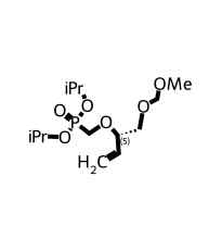 C=C[C@@H](COCOC)OCP(=O)(OC(C)C)OC(C)C